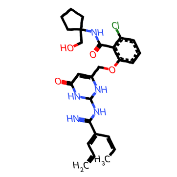 C=C/C=C(\C=C/C)C(=N)NC1NC(=O)C=C(COc2cccc(Cl)c2C(=O)NC2(CO)CCCC2)N1